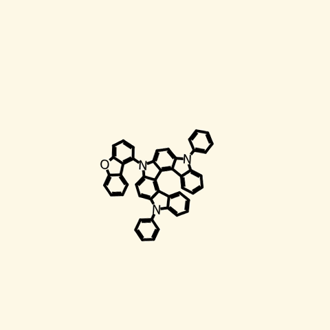 c1ccc(-n2c3ccccc3c3c4c5c6c7ccccc7n(-c7ccccc7)c6ccc5n(-c5cccc6oc7ccccc7c56)c4ccc32)cc1